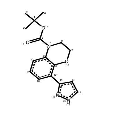 CC(C)(C)OC(=O)N1CCOc2c(-c3cc[nH]n3)cccc21